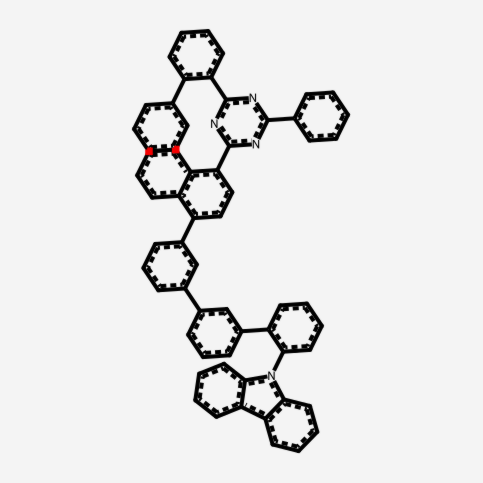 c1ccc(-c2nc(-c3ccccc3-c3ccccc3)nc(-c3ccc(-c4cccc(-c5cccc(-c6ccccc6-n6c7ccccc7c7ccccc76)c5)c4)c4ccccc34)n2)cc1